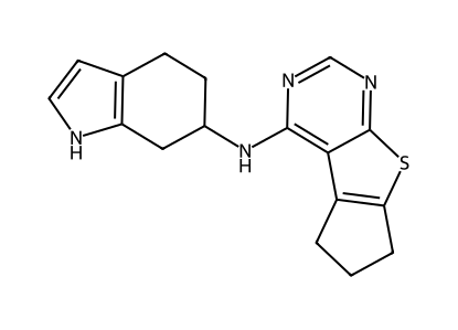 c1nc(NC2CCc3cc[nH]c3C2)c2c3c(sc2n1)CCC3